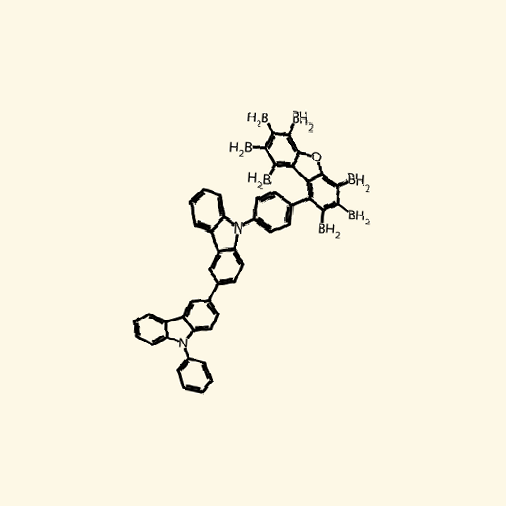 Bc1c(B)c(B)c2c(oc3c(B)c(B)c(B)c(-c4ccc(-n5c6ccccc6c6cc(-c7ccc8c(c7)c7ccccc7n8-c7ccccc7)ccc65)cc4)c32)c1B